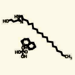 CCCCCCCCCCCCCCCCCc1c[nH]c(CCO)n1.O=P(O)(O)O.c1ccc2ncccc2c1